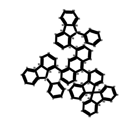 c1ccc(-p2c3ccccc3c3cccc(-c4cccc5c(-c6cccc7c6-c6ccccc6C76c7ccccc7-c7ccccc76)c6cccc(-c7cccc8c9ccccc9p(-c9ccccc9)c78)c6cc45)c32)cc1